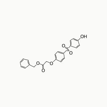 O=C(COc1ccc(S(=O)(=O)c2ccc(O)cc2)cc1)OCc1ccccc1